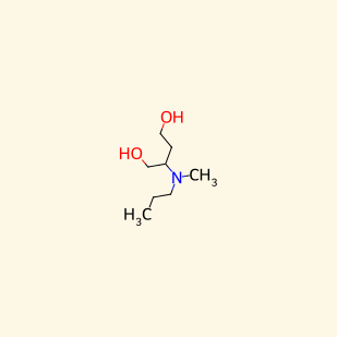 CCCN(C)C(CO)CCO